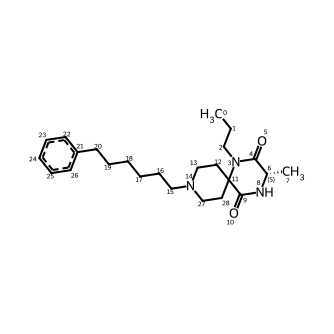 CCCN1C(=O)[C@H](C)NC(=O)C12CCN(CCCCCCc1ccccc1)CC2